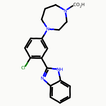 O=C(O)N1CCCN(c2ccc(Cl)c(-c3nc4ccccc4[nH]3)c2)CC1